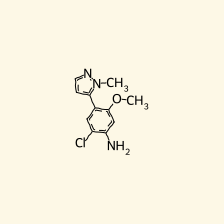 COc1cc(N)c(Cl)cc1-c1ccnn1C